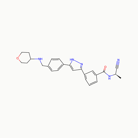 C[C@H](C#N)NC(=O)c1cccc(-c2cc(-c3ccc(CNC4CCOCC4)cc3)[nH]n2)c1